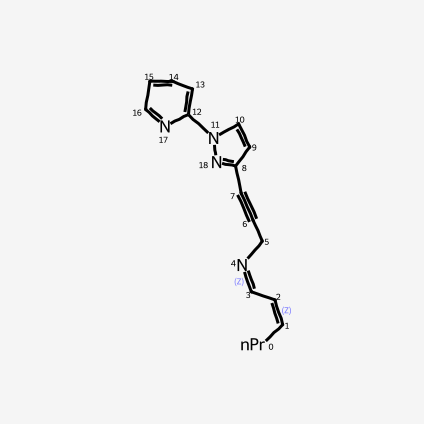 CCC/C=C\C=N/CC#Cc1ccn(-c2ccccn2)n1